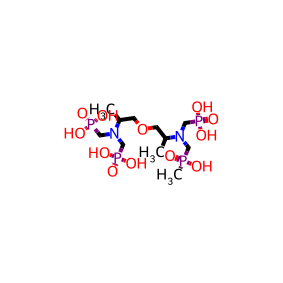 CC(COCC(C)N(CP(=O)(O)O)CP(=O)(O)O)N(CP(C)(=O)O)CP(=O)(O)O